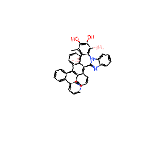 Bc1c(C)c(O)c(O)c(B)c1-n1c(-c2c3ccccc3c(-c3ccccc3-c3cccnc3)c3ccccc23)nc2ccccc21